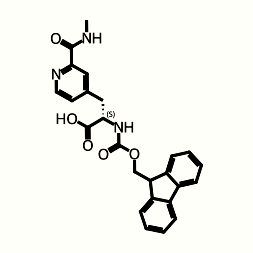 CNC(=O)c1cc(C[C@H](NC(=O)OCC2c3ccccc3-c3ccccc32)C(=O)O)ccn1